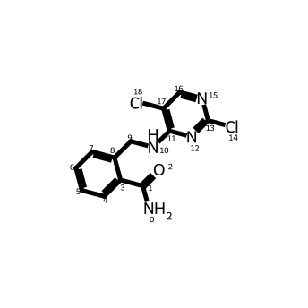 NC(=O)c1ccccc1CNc1nc(Cl)ncc1Cl